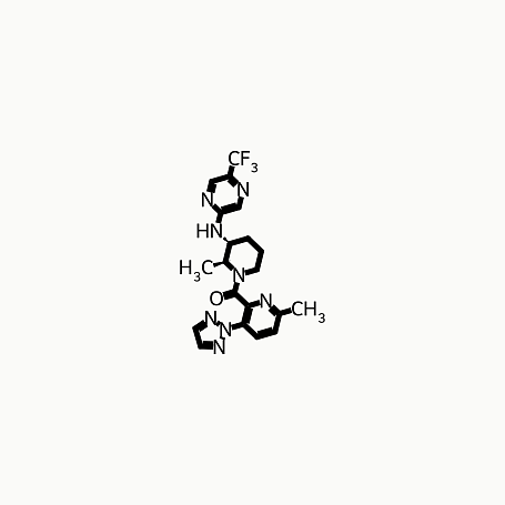 Cc1ccc(-n2nccn2)c(C(=O)N2CCC[C@@H](Nc3cnc(C(F)(F)F)cn3)[C@@H]2C)n1